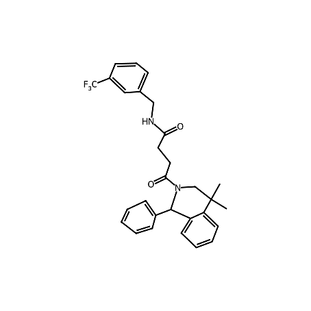 CC1(C)CN(C(=O)CCC(=O)NCc2cccc(C(F)(F)F)c2)C(c2ccccc2)c2ccccc21